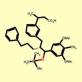 COc1cc(C(O[Si](C)(C)C(C)(C)C)[C@H](CCCc2ccccc2)Cc2cccc(C(C)CC(=O)O)c2)cc(OC)c1C